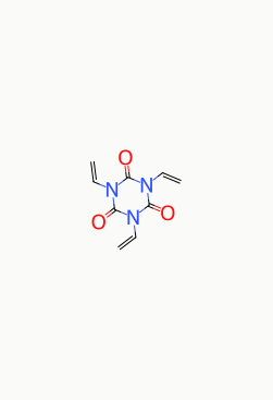 C=Cn1c(=O)n(C=C)c(=O)n(C=C)c1=O